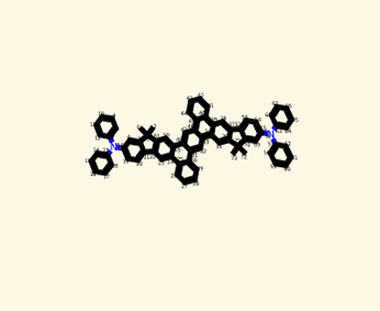 CC1(C)c2cc(N(c3ccccc3)c3ccccc3)ccc2-c2cc3c4ccccc4c4cc5c6cc7c(cc6c6ccccc6c5cc4c3cc21)-c1ccc(N(c2ccccc2)c2ccccc2)cc1C7(C)C